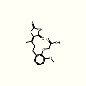 COc1cccc(CC/C(C)=C2/SC(=S)NC2=O)c1OCC(=O)O